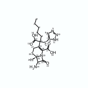 CCCCCC(Sc1nnn[nH]1)(C(=O)O)C1=C(C(=O)O)N2C(=O)C(N)[C@@H]2SC1